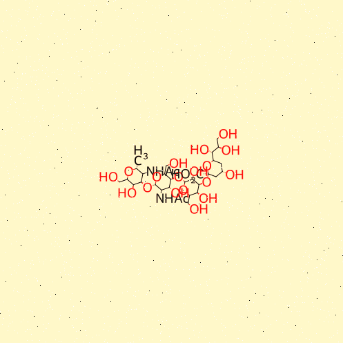 CC(=O)NC1[C@H](O[C@@H]2C(NC(C)=O)[C@@H](C)OC(CO)[C@@H]2O)OC(CO)[C@@H](O[C@@H]2OC(CO)[C@H](O)[C@H](O[C@]3(C(=O)O)C[C@@H](O)CC([C@H](O)[C@H](O)CO)O3)C2O)[C@@H]1O